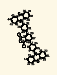 O=C1OC(=O)c2c(-c3ccc(N4c5ccccc5Sc5ccccc54)cc3)ccc(-c3ccc(N4c5ccccc5Sc5ccccc54)cc3)c21